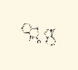 Cn1cc(-c2nc3ccccc3n(C)c2=O)c2ccccc21